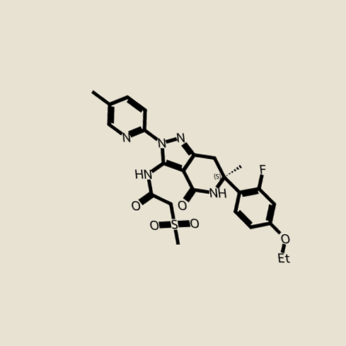 CCOc1ccc([C@]2(C)Cc3nn(-c4ccc(C)cn4)c(NC(=O)CS(C)(=O)=O)c3C(=O)N2)c(F)c1